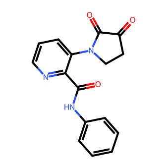 O=C1CCN(c2cccnc2C(=O)Nc2ccccc2)C1=O